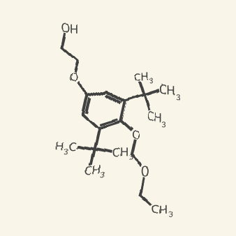 CCOCOc1c(C(C)(C)C)cc(OCCO)cc1C(C)(C)C